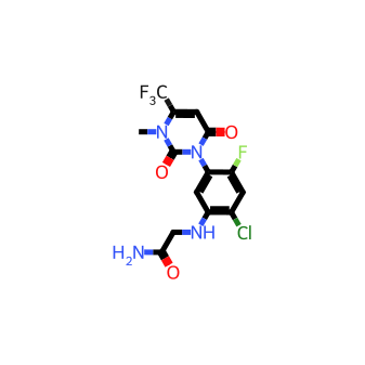 Cn1c(C(F)(F)F)cc(=O)n(-c2cc(NCC(N)=O)c(Cl)cc2F)c1=O